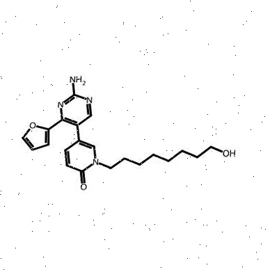 Nc1ncc(-c2ccc(=O)n(CCCCCCCCO)c2)c(-c2ccco2)n1